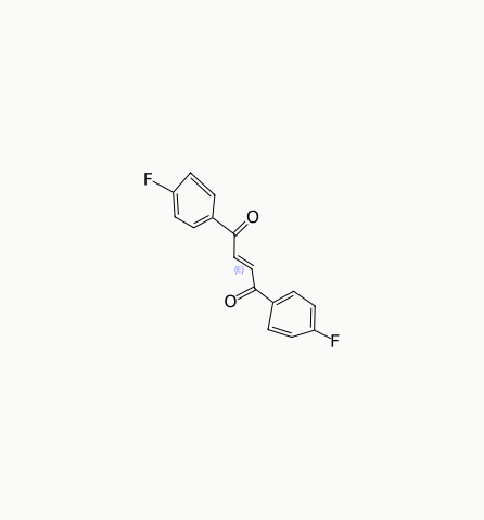 O=C(/C=C/C(=O)c1ccc(F)cc1)c1ccc(F)cc1